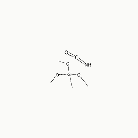 CO[Si](C)(OC)OC.N=C=O